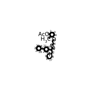 CC(=O)Oc1cccc(OCCON=C(CN2CC=CCC2)c2ccc(-c3ccccc3)cc2)c1C